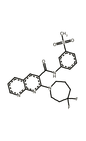 CS(=O)(=O)c1cccc(NC(=O)c2cc3cccnc3nc2N2CCCC(F)(F)CC2)c1